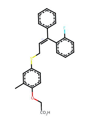 Cc1cc(SC/C=C(/c2ccccc2)c2ccccc2F)ccc1OCC(=O)O